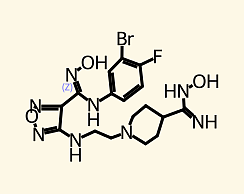 N=C(NO)C1CCN(CCNc2nonc2/C(=N/O)Nc2ccc(F)c(Br)c2)CC1